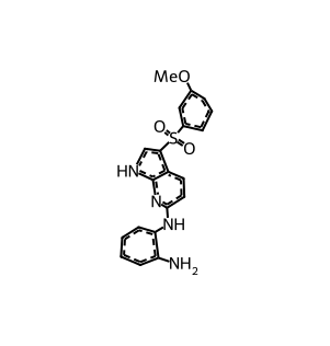 COc1cccc(S(=O)(=O)c2c[nH]c3nc(Nc4ccccc4N)ccc23)c1